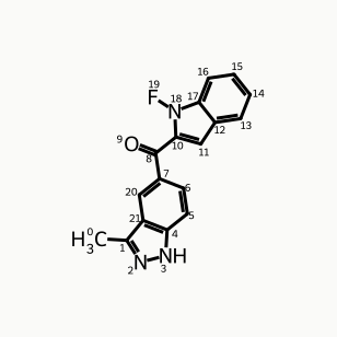 Cc1n[nH]c2ccc(C(=O)c3cc4ccccc4n3F)cc12